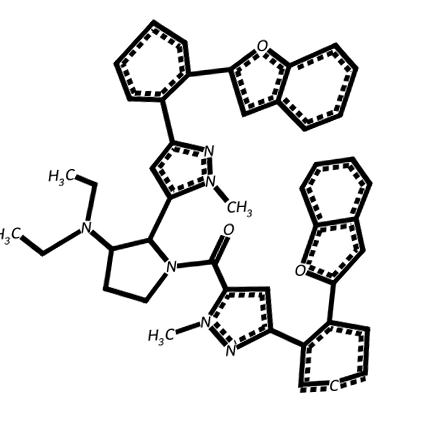 CCN(CC)C1CCN(C(=O)c2cc(-c3ccccc3-c3cc4ccccc4o3)nn2C)C1c1cc(-c2ccccc2-c2cc3ccccc3o2)nn1C